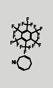 C1=C\CC/C=C\CC/1.FC(F)(F)c1c(C(F)(F)F)c(C(F)(F)F)c(C(F)(F)F)c(C(F)(F)F)c1C(F)(F)F.[Ni]